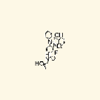 CCn1c(C(O)(c2ccccc2)c2ccccc2)nc2ccc(C(=O)NC[C@@H](C)O)c(F)c21